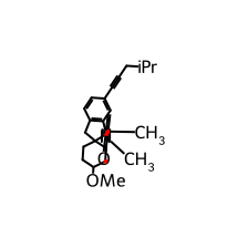 COC1CCC2(CC1)Cc1ccc(C#CCC(C)C)cc1C21N=C(C)N(C)C1=O